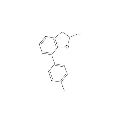 [CH2]C1Cc2cccc(-c3ccc(C)cc3)c2O1